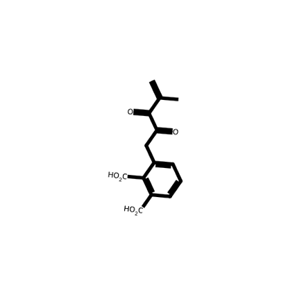 C=C(C)C(=O)C(=O)Cc1cccc(C(=O)O)c1C(=O)O